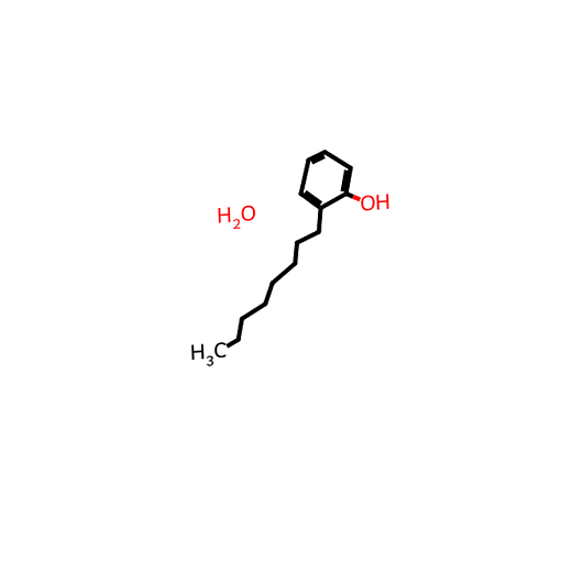 CCCCCCCCc1ccccc1O.O